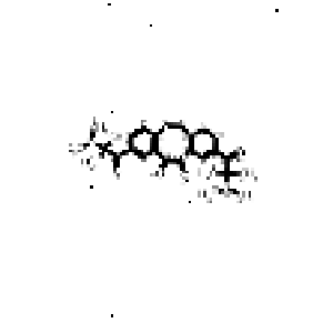 CN(C)C(C)(C)C(=O)c1ccc2c(c1)C(=O)C(=O)c1cc(C(=O)C(C)(C)N(C)C)ccc1CC2